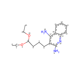 CCOC(CCCc1c(N)nc2ccccc2c1N)OCC